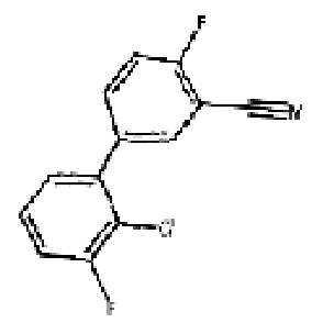 N#Cc1cc(-c2cccc(F)c2Cl)ccc1F